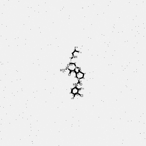 CN1O[C@H](CNCC(F)F)Cn2nc3c(c2C1=O)CN(C(=O)Nc1ccc(F)c(Cl)c1F)CC3